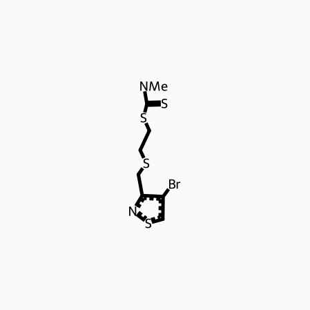 CNC(=S)SCCSCc1nscc1Br